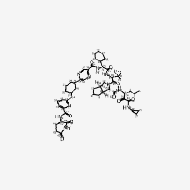 CCC[C@H](NC(=O)[C@@H]1[C@H]2CCC[C@H]2CN1C(=O)[C@@H](NC(=O)[C@@H](NC(=O)c1cnc(C2CCCC(Cc3cccc(C(=O)NC4CCC(=O)NC4=O)n3)C2)cn1)C1CCCCC1)C(C)(C)C)C(=O)C(=O)NC1CC1